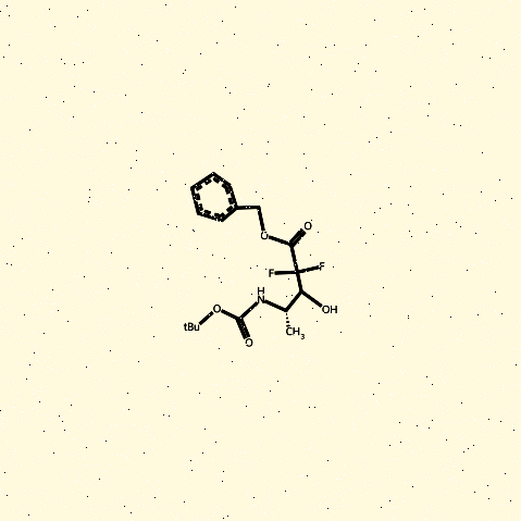 C[C@H](NC(=O)OC(C)(C)C)C(O)C(F)(F)C(=O)OCc1ccccc1